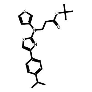 CC(C)c1ccc(-c2csc(N(CCC(=O)OC(C)(C)C)c3ccsc3)n2)cc1